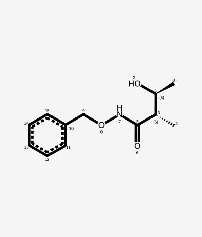 C[C@H](O)[C@H](C)C(=O)NOCc1ccccc1